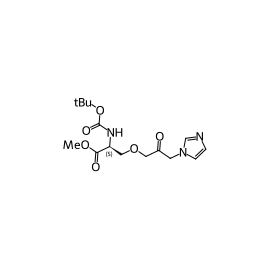 COC(=O)[C@H](COCC(=O)Cn1ccnc1)NC(=O)OC(C)(C)C